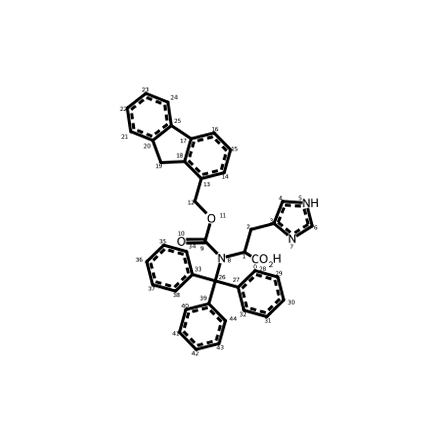 O=C(O)C(Cc1c[nH]cn1)N(C(=O)OCc1cccc2c1Cc1ccccc1-2)C(c1ccccc1)(c1ccccc1)c1ccccc1